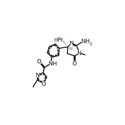 CCC[C@@]1(c2cccc(NC(=O)c3coc(C)n3)c2)CC(=O)N(C)C(N)=N1